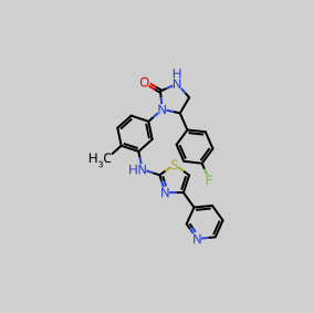 Cc1ccc(N2C(=O)NCC2c2ccc(F)cc2)cc1Nc1nc(-c2cccnc2)cs1